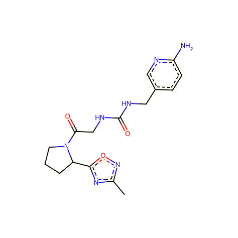 Cc1noc(C2CCCN2C(=O)CNC(=O)NCc2ccc(N)nc2)n1